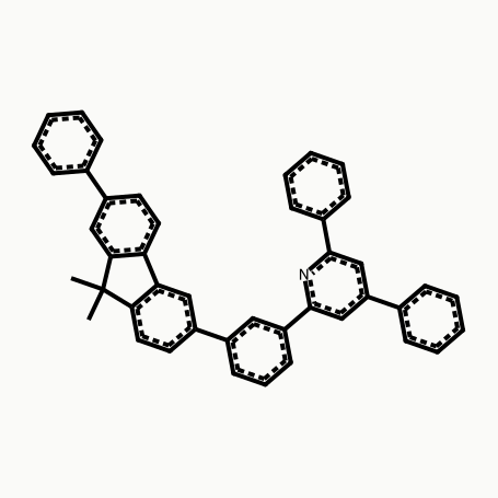 CC1(C)c2ccc(-c3cccc(-c4cc(-c5ccccc5)cc(-c5ccccc5)n4)c3)cc2-c2ccc(-c3ccccc3)cc21